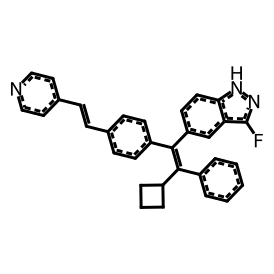 Fc1n[nH]c2ccc(C(=C(c3ccccc3)C3CCC3)c3ccc(C=Cc4ccncc4)cc3)cc12